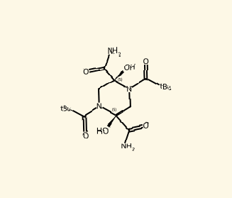 CC(C)(C)C(=O)N1C[C@](O)(C(N)=O)N(C(=O)C(C)(C)C)C[C@]1(O)C(N)=O